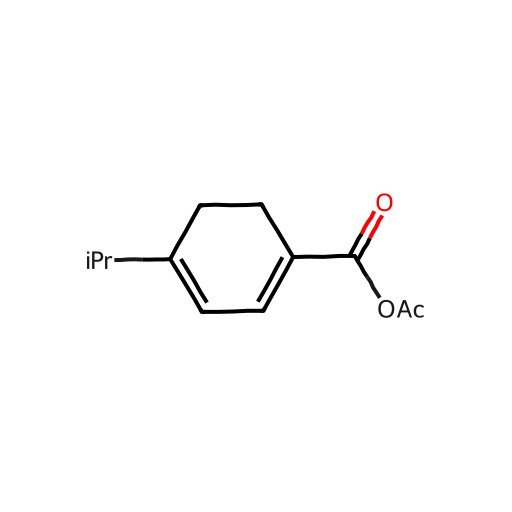 CC(=O)OC(=O)C1=CC=C(C(C)C)CC1